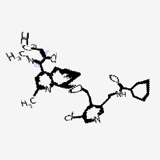 C/C=C(Cl)\C(=N/C)c1cc(C)nc2c(OCc3c(Cl)cncc3CNC(=O)C3CCCCC3)cccc12